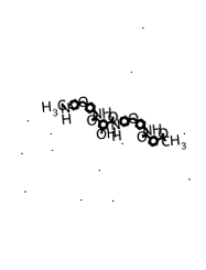 CNc1ccc(Oc2ccc(NC(=O)c3cc(O)cc(C(=O)Nc4ccc(Oc5ccc(NC(=O)c6cccc(C(C)=O)c6)cc5)cc4)c3)cc2)cc1